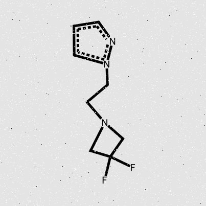 FC1(F)CN(CCn2c[c]cn2)C1